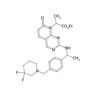 CCOC(=O)C(C)n1c(=O)ccc2cnc(NC(C)c3ccc(CN4CCCC(F)(F)C4)cc3)nc21